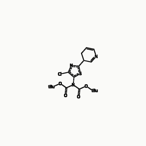 CC(C)(C)OC(=O)N(C(=O)OC(C)(C)C)c1sc(C2C=NC=CC2)nc1Cl